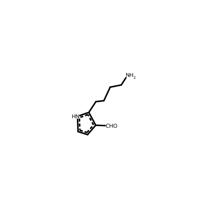 NCCCCc1[nH]ccc1C=O